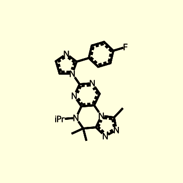 Cc1nnc2n1-c1cnc(-n3ccnc3-c3ccc(F)cc3)nc1N(C(C)C)C2(C)C